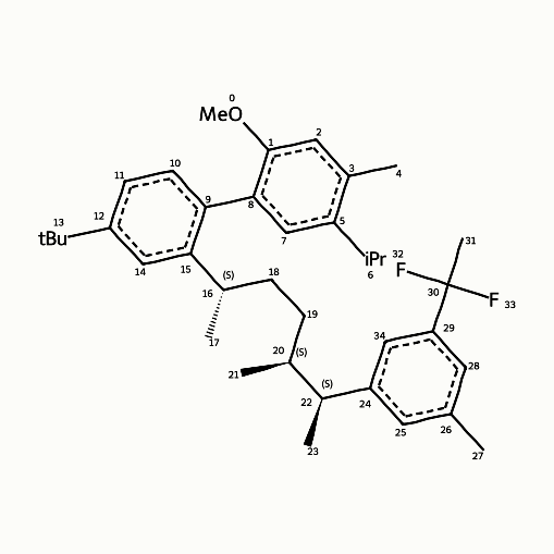 COc1cc(C)c(C(C)C)cc1-c1ccc(C(C)(C)C)cc1[C@@H](C)CC[C@H](C)[C@H](C)c1cc(C)cc(C(C)(F)F)c1